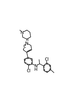 Cc1ccc(C(C)Nc2cc(C3=CCN([C@H]4CCCN(C)C4)CC3)ccc2Cl)c(Cl)c1